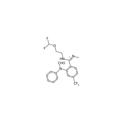 C/N=C(/NCCOC(F)F)c1ccc(C(F)(F)F)cc1N(C=O)c1ccccc1